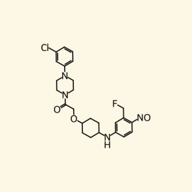 O=Nc1ccc(NC2CCC(OCC(=O)N3CCN(c4cccc(Cl)c4)CC3)CC2)cc1CF